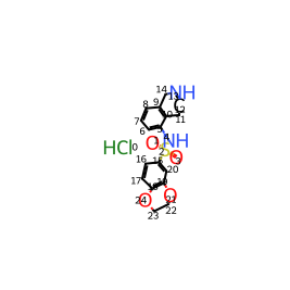 Cl.O=S(=O)(Nc1cccc2c1CCNC2)c1ccc2c(c1)OCCO2